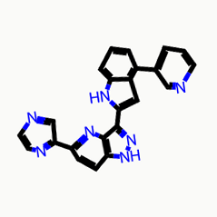 c1cncc(-c2cccc3[nH]c(-c4n[nH]c5ccc(-c6cnccn6)nc45)cc23)c1